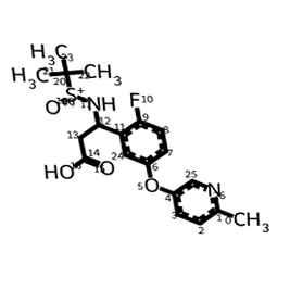 Cc1ccc(Oc2ccc(F)c(C(CC(=O)O)N[S@@+]([O-])C(C)(C)C)c2)cn1